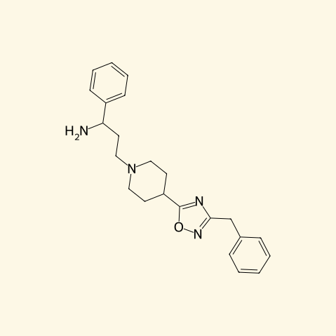 NC(CCN1CCC(c2nc(Cc3ccccc3)no2)CC1)c1ccccc1